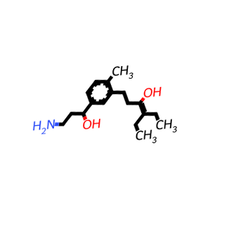 CCC(CC)=C(O)CCc1cc(C(O)CCN)ccc1C